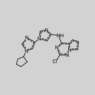 Clc1nc(Nc2cn(-c3cn(C4CCCC4)cn3)cn2)c2cccn2n1